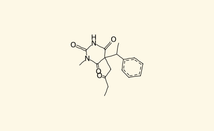 CCC(=O)CC1(C(C)c2ccccc2)C(=O)NC(=O)N(C)C1=O